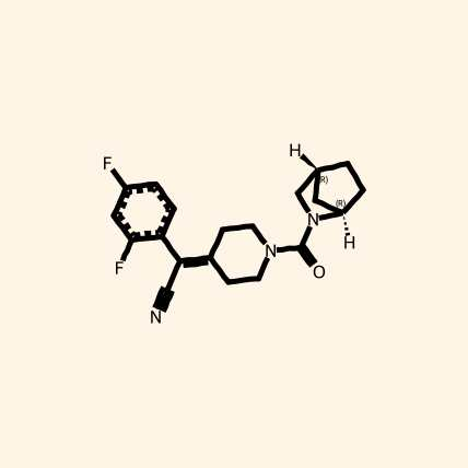 N#CC(=C1CCN(C(=O)N2C[C@@H]3CC[C@@H]2C3)CC1)c1ccc(F)cc1F